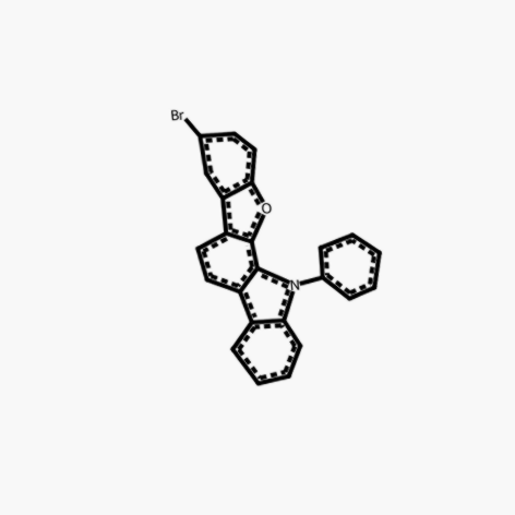 Brc1ccc2oc3c(ccc4c5ccccc5n(-c5ccccc5)c43)c2c1